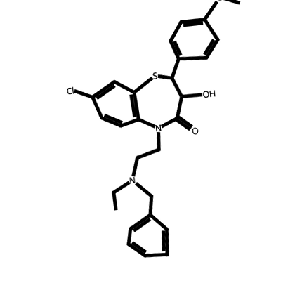 CCN(CCN1C(=O)C(O)C(c2ccc(OC)cc2)Sc2cc(Cl)ccc21)Cc1ccccc1